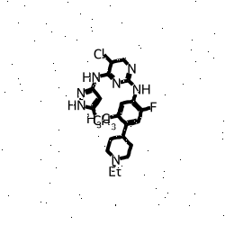 CCN1CCC(c2cc(F)c(NC3=NCC(Cl)C(Nc4cc(C)[nH]n4)=N3)cc2C)CC1